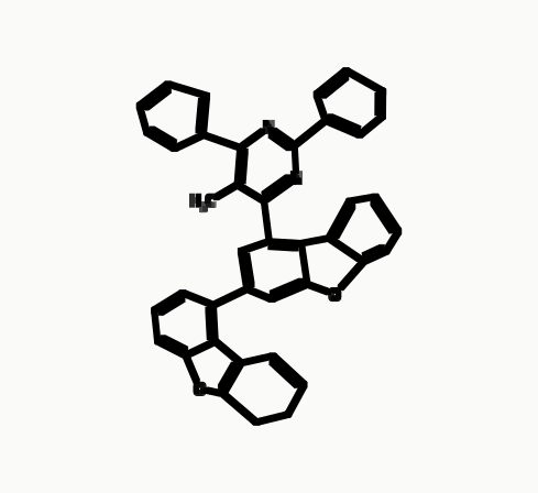 Cc1c(-c2ccccc2)nc(-c2ccccc2)nc1-c1cc(-c2cccc3oc4c(c23)C=CCC4)cc2oc3ccccc3c12